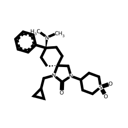 CN(C)[C@]1(c2ccccc2)CC[C@]2(CC1)CN(C1CCS(=O)(=O)CC1)C(=O)N2CC1CC1